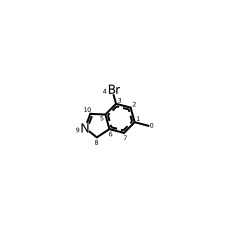 Cc1cc(Br)c2c(c1)CN=C2